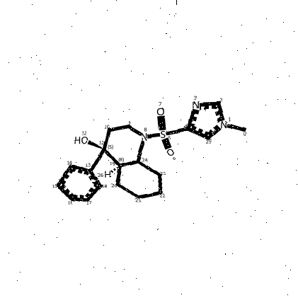 Cn1cnc(S(=O)(=O)N2CC[C@@](O)(c3ccccc3)[C@@H]3CCCCC32)c1